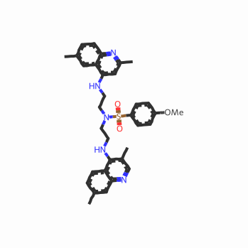 COc1ccc(S(=O)(=O)N(CCNc2cc(C)nc3ccc(C)cc23)CCNc2c(C)cnc3cc(C)ccc23)cc1